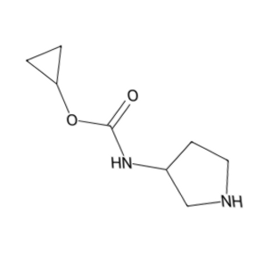 O=C(NC1CCNC1)OC1CC1